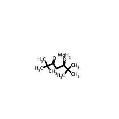 CC(C)(C)C(=O)CC(=O)C(C)(C)C.[MgH2]